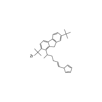 CC(CCC=CC1C=CC=C1)c1c(C(C)(C)C)ccc2c1Cc1cc(C(C)(C)C)ccc1-2.[Zr]